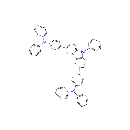 C=C(/C=C\C(=C/C)N(c1ccccc1)c1ccccc1)c1ccc2c(c1)c1cc(-c3ccc(N(c4ccccc4)c4ccccc4)cc3)ccc1n2-c1ccccc1